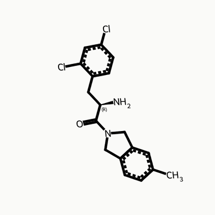 Cc1ccc2c(c1)CN(C(=O)[C@H](N)Cc1ccc(Cl)cc1Cl)C2